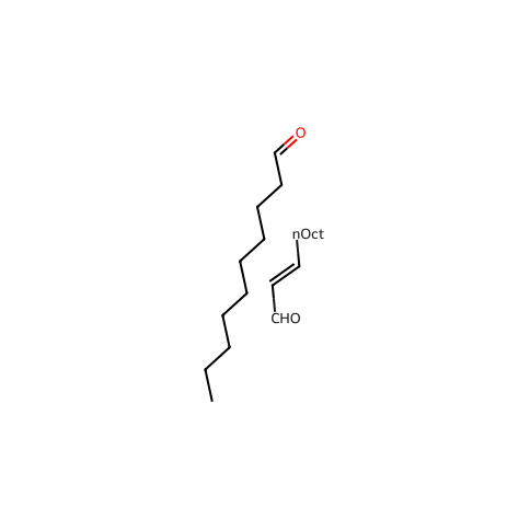 CCCCCCCCC=CC=O.CCCCCCCCCC=O